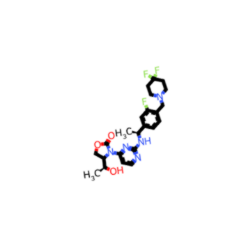 C[C@H](Nc1nccc(N2C(=O)OCC2[C@H](C)O)n1)c1ccc(CN2CCC(F)(F)CC2)c(F)c1